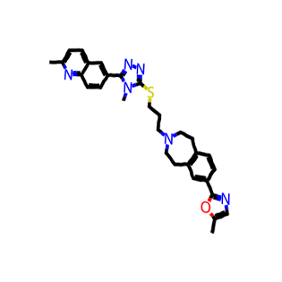 Cc1ccc2cc(-c3nnc(SCCCN4CCc5ccc(-c6ncc(C)o6)cc5CC4)n3C)ccc2n1